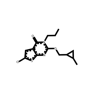 CCCn1c(OCC2CC2C)nc2sc(Cl)cc2c1=O